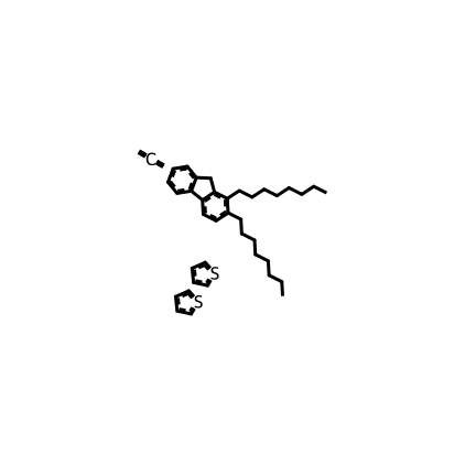 C=C=C.CCCCCCCCc1ccc2c(c1CCCCCCCC)Cc1ccccc1-2.c1ccsc1.c1ccsc1